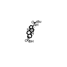 CC(C)(C)C(=O)NC1CC[C@H]2[C@@H]3CCC4C=C([PH](=O)O)CC[C@]4(C)[C@@H]3CC[C@]12C